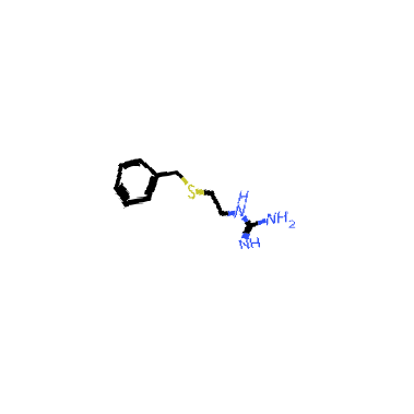 N=C(N)NCCSCc1ccccc1